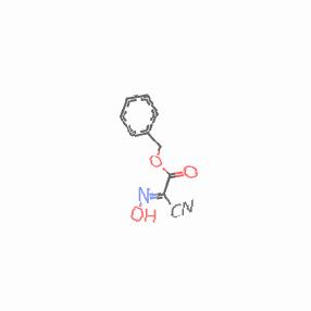 N#CC(=NO)C(=O)OCc1ccccc1